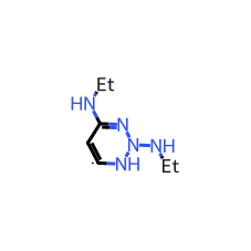 CCNC1=NN(NCC)N[C]=C1